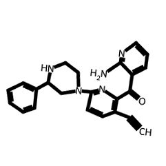 C#Cc1ccc(N2CCNC(c3ccccc3)C2)nc1C(=O)c1cccnc1N